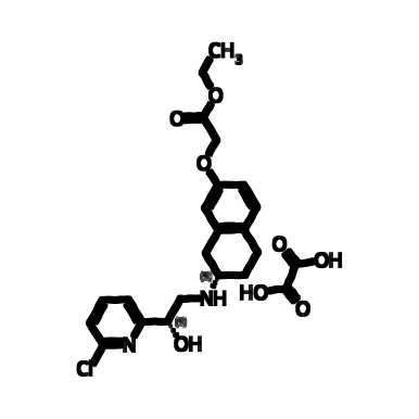 CCOC(=O)COc1ccc2c(c1)C[C@@H](NC[C@H](O)c1cccc(Cl)n1)CC2.O=C(O)C(=O)O